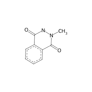 CN1[N]C(=O)c2ccccc2C1=O